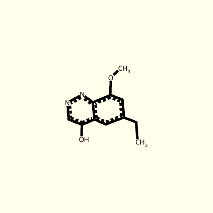 CCc1cc(OC)c2nncc(O)c2c1